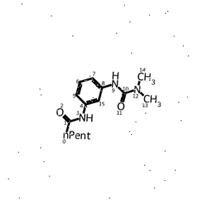 CCCCCC(=O)Nc1cccc(NC(=O)N(C)C)c1